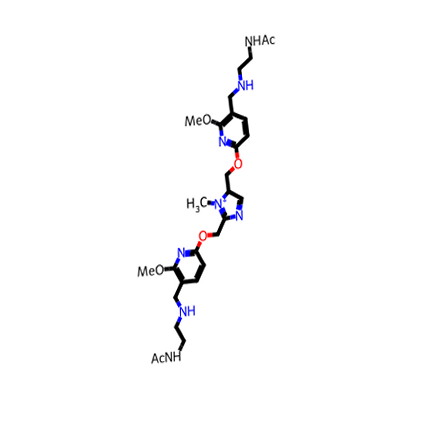 COc1nc(OCC2=[N+](C)C(COc3ccc(CNCCNC(C)=O)c(OC)n3)C=N2)ccc1CNCCNC(C)=O